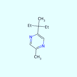 CCC(C)(CC)c1cnc(C)cn1